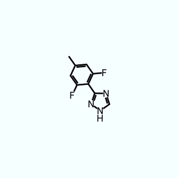 Cc1cc(F)c(-c2nc[nH]n2)c(F)c1